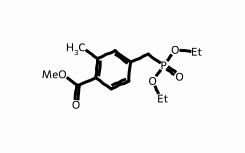 CCOP(=O)(Cc1ccc(C(=O)OC)c(C)c1)OCC